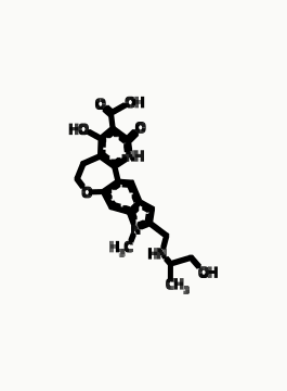 CC(CO)NCc1cc2cc3c(cc2n1C)OCCc1c-3[nH]c(=O)c(C(=O)O)c1O